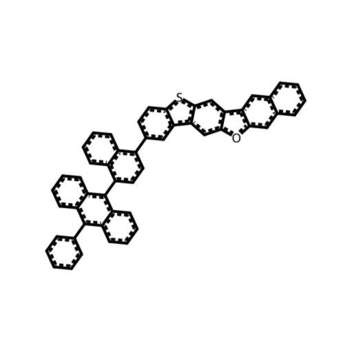 c1ccc(-c2c3ccccc3c(-c3ccc(-c4ccc5sc6cc7c(cc6c5c4)oc4cc5ccccc5cc47)c4ccccc34)c3ccccc23)cc1